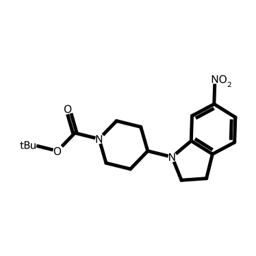 CC(C)(C)OC(=O)N1CCC(N2CCc3ccc([N+](=O)[O-])cc32)CC1